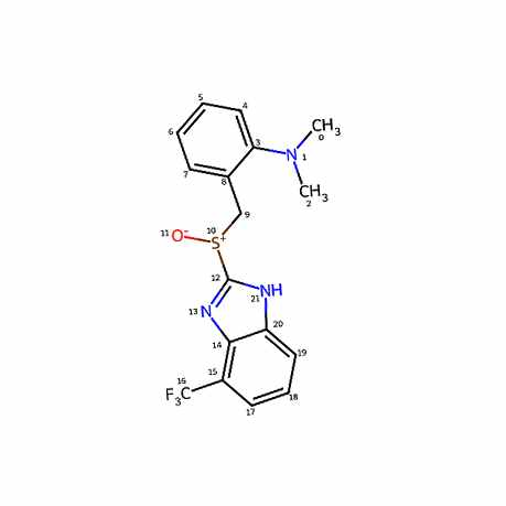 CN(C)c1ccccc1C[S+]([O-])c1nc2c(C(F)(F)F)cccc2[nH]1